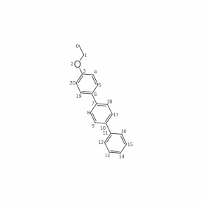 CCOc1ccc(-c2ccc(-c3ccccc3)cc2)cc1